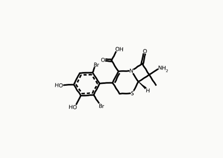 CC1(N)C(=O)N2C(C(=O)O)=C(c3c(Br)cc(O)c(O)c3Br)CS[C@H]21